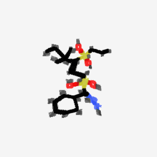 C=CCS(=O)(=O)C(=CCS(=O)(=O)C(=[N+]=[N-])C1CCCCC1)C(C)(C)CC